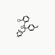 Fc1ccc(C2(Cn3cncn3)O[C@H]2c2ccccc2Cl)cc1